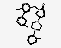 Cc1cccc(-c2cc(Cn3nc(N4CCN(c5ccccc5C)CC4)ccc3=O)ccc2C)c1